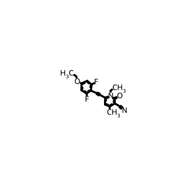 CCOc1cc(F)c(C#Cc2cc(C)c(C#N)c(=O)n2CC)c(F)c1